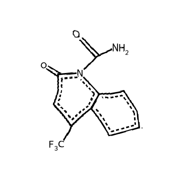 NC(=O)n1c(=O)cc(C(F)(F)F)c2c[c]ccc21